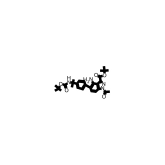 CC(=O)n1nc(C(=O)OC(C)(C)C)c2c(N)c(-c3ccc(C(C)(C)NC(=O)OC(C)(C)C)cc3)ccc21